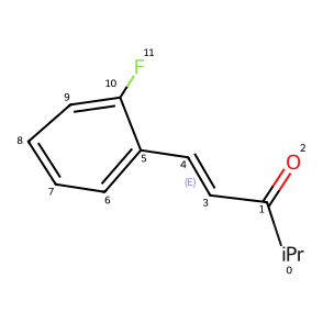 CC(C)C(=O)/C=C/c1ccccc1F